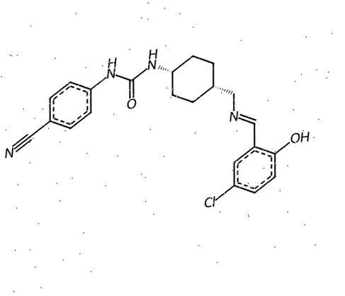 N#Cc1ccc(NC(=O)N[C@H]2CC[C@@H](CN=Cc3cc(Cl)ccc3O)CC2)cc1